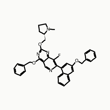 CN1CCC[C@H]1COc1nc(OCc2ccccc2)c2cnc(-c3cc(OCc4ccccc4)cc4ccccc34)c(F)c2n1